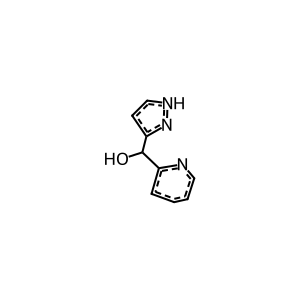 OC(c1ccccn1)c1cc[nH]n1